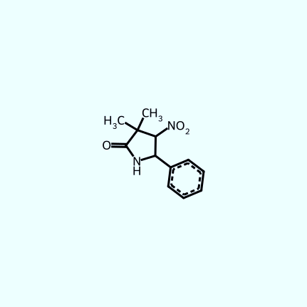 CC1(C)C(=O)NC(c2ccccc2)C1[N+](=O)[O-]